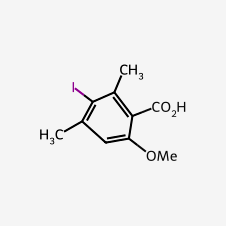 COc1cc(C)c(I)c(C)c1C(=O)O